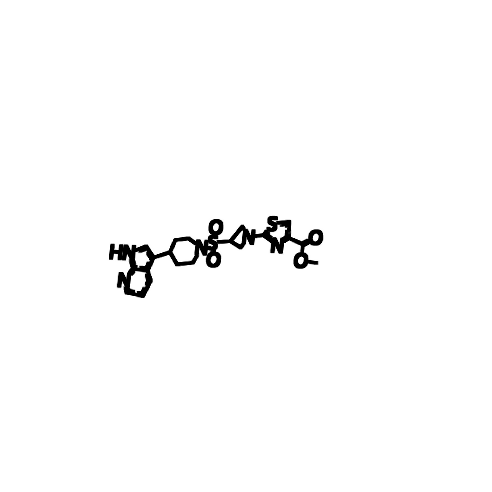 COC(=O)c1csc(N2CC(S(=O)(=O)N3CCC(c4c[nH]c5ncccc45)CC3)C2)n1